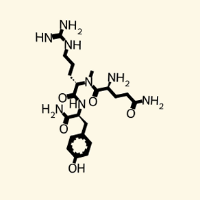 CN(C(=O)[C@@H](N)CCC(N)=O)[C@@H](CCCNC(=N)N)C(=O)N[C@@H](Cc1ccc(O)cc1)C(N)=O